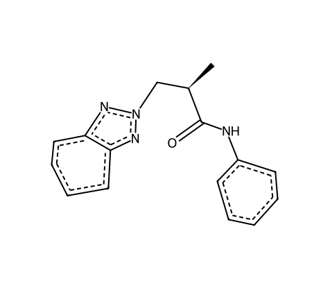 C[C@H](Cn1nc2ccccc2n1)C(=O)Nc1ccccc1